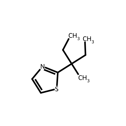 CCC(C)(CC)c1nccs1